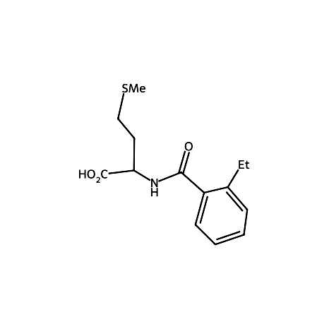 CCc1ccccc1C(=O)NC(CCSC)C(=O)O